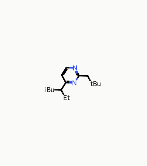 CCC(C)C(CC)c1ccnc(CC(C)(C)C)n1